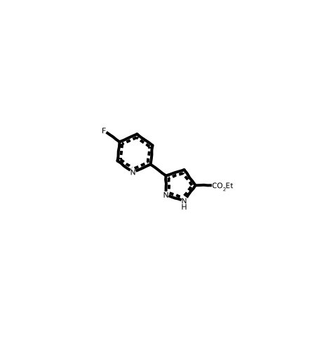 CCOC(=O)c1cc(-c2ccc(F)cn2)n[nH]1